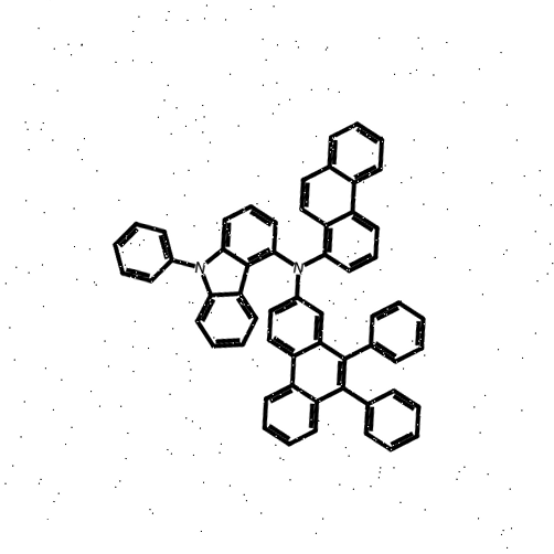 c1ccc(-c2c(-c3ccccc3)c3cc(N(c4cccc5c4ccc4ccccc45)c4cccc5c4c4ccccc4n5-c4ccccc4)ccc3c3ccccc23)cc1